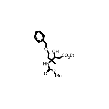 CCOC(=O)CC(O)C(C)(CCOCc1ccccc1)NC(=O)OC(C)(C)C